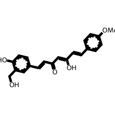 COc1ccc(/C=C/C(O)=C/C(=O)/C=C/c2ccc(O)c(CO)c2)cc1